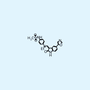 CCN(C=C1C(=O)Nc2ccc(-c3cnco3)cc21)c1ccc(NS(C)(=O)=O)cc1